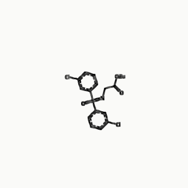 CC(C)COC(=O)CN=S(=O)(c1cccc(Cl)c1)c1cccc(Cl)c1